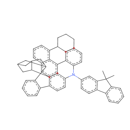 CC1(C)c2ccccc2-c2ccc(N(c3ccc4c(c3)C3(c5ccccc5-4)C4CC5CC(C4)C3C5)c3ccccc3-c3cccc4cccc(C5CCCCC5)c34)cc21